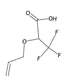 C=CCOC(C(=O)O)C(F)(F)F